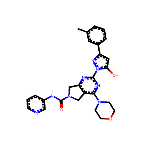 Cc1cccc(-c2cc(O)n(-c3nc4c(c(N5CCOCC5)n3)CN(C(=O)Nc3cccnc3)C4)n2)c1